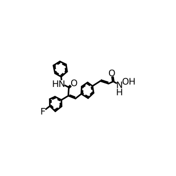 O=C(/C=C/c1ccc(C=C(C(=O)Nc2ccccc2)c2ccc(F)cc2)cc1)NO